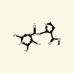 COC(=O)c1ccsc1NC(=O)c1cc(F)nc(F)c1F